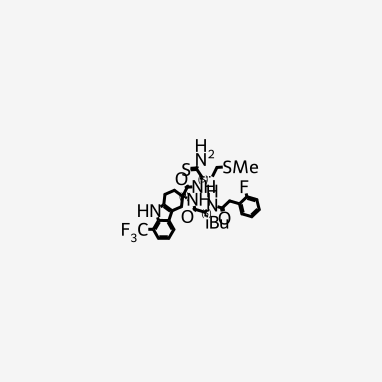 CCC(C)[C@H](NC(=O)Cc1ccccc1F)C(=O)N[C@]1(C(=O)N[C@@H](CCSC)C(N)=S)CCc2[nH]c3c(C(F)(F)F)cccc3c2C1